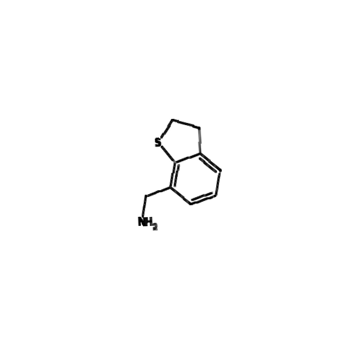 NCc1cccc2c1SCC2